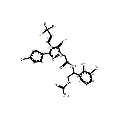 NC(=O)OCC(NC(=O)Cn1nc(-c2ccc(Cl)cc2)n(/C=C/C(F)(F)I)c1=O)c1cccc(Cl)c1Cl